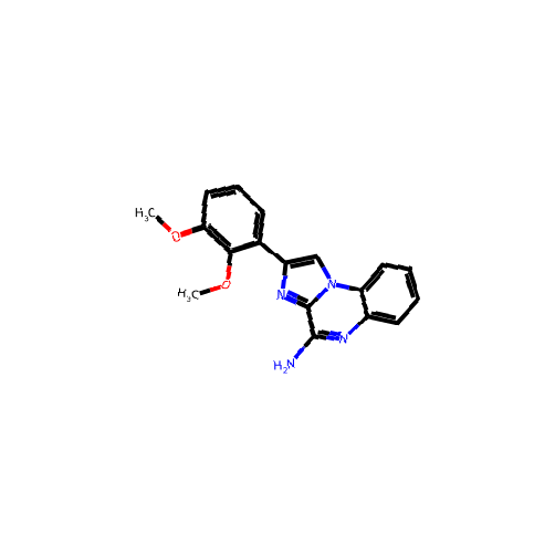 COc1cccc(-c2cn3c(n2)c(N)nc2ccccc23)c1OC